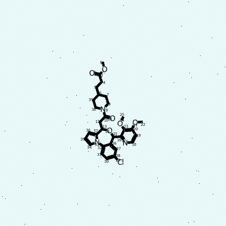 COC(=O)CCC1CCN(C(=O)CC2OC(c3nccc(OC)c3OC)c3cc(Cl)ccc3-n3cccc32)CC1